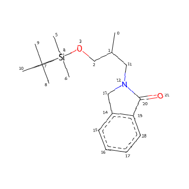 CC(CO[Si](C)(C)C(C)(C)C)CN1Cc2ccccc2C1=O